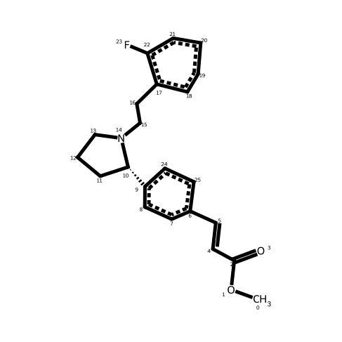 COC(=O)/C=C/c1ccc([C@@H]2CCCN2CCc2ccccc2F)cc1